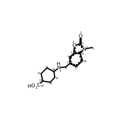 Cn1c(=O)oc2cc(CNC3CCC(C(=O)O)CC3)ccc21